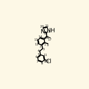 Cc1c(CCc2cccc(Cl)c2)cccc1[C@H](C)c1ncc[nH]1